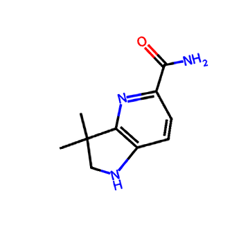 CC1(C)CNc2ccc(C(N)=O)nc21